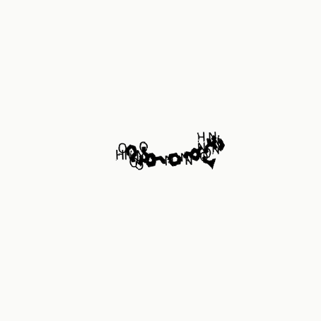 O=C1CCC(N2C(=O)c3ccc(CCN4CCC(n5cc6cc(NC(=O)c7cnn8cccnc78)c(OCC7CC7)cc6n5)CC4)cc3C2=O)C(=O)N1